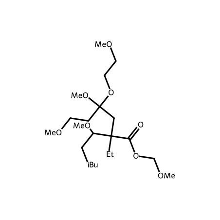 CCC(C)CC(OC)C(CC)(CC(CCOC)(OC)OCCOC)C(=O)OCOC